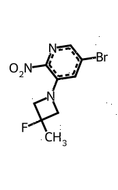 CC1(F)CN(c2cc(Br)cnc2[N+](=O)[O-])C1